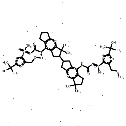 COCc1nc(C(C)(C)O)sc1/S(N)=N/C(=O)Nc1c2c(nc3c1CCC3(C)C)CC(C1Cc3c(nc4c(c3NC(=O)N=S(N)(=O)c3sc(C(C)(C)O)nc3COC)CCC4)C1(C)C)C2